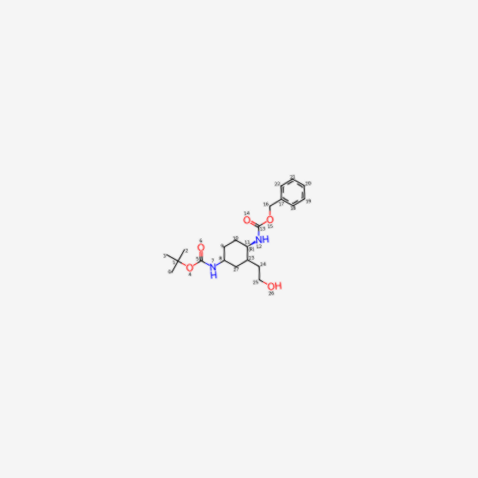 CC(C)(C)OC(=O)NC1CC[C@@H](NC(=O)OCc2ccccc2)C(CCO)C1